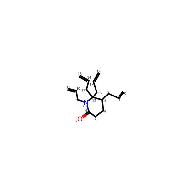 C=CCC1CCC(=O)N(CC=C)C1(CC=C)CC=C